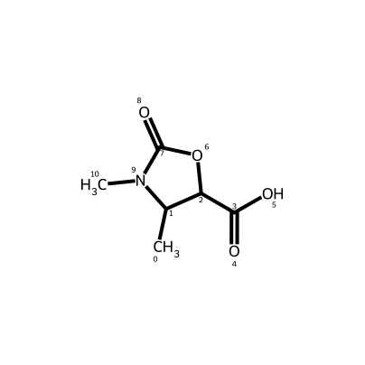 CC1C(C(=O)O)OC(=O)N1C